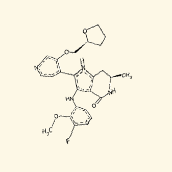 COc1c(F)cccc1Nc1c(-c2ccncc2OC[C@@H]2CCCO2)[nH]c2c1C(=O)N[C@H](C)C2